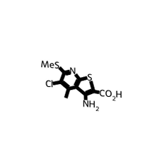 CSc1nc2sc(C(=O)O)c(N)c2c(C)c1Cl